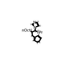 CCCCCCCCC(Cc1ccccc1)C(CCC)n1ccnc1